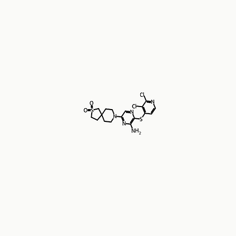 Nc1nc(N2CCC3(CC2)CCS(=O)(=O)C3)cnc1Sc1ccnc(Cl)c1Cl